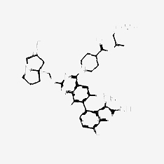 COCC(C)OC(=O)C1CCN(c2nc(OC[C@@]34CCCN3C[C@H](F)C4)nc3c(F)c(-c4ccc(F)c5sc(N)c(C#N)c45)c(Cl)cc23)CC1